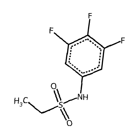 CCS(=O)(=O)Nc1cc(F)c(F)c(F)c1